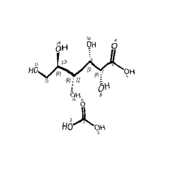 O=C(O)O.O=C(O)[C@H](O)[C@@H](O)[C@H](O)[C@H](O)CO